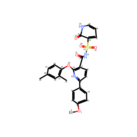 CCOc1ccc(-c2ccc(C(=O)NS(=O)(=O)c3ccc[nH]c3=O)c(Oc3ccc(C)cc3C)n2)cc1